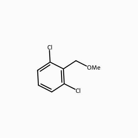 [CH2]OCc1c(Cl)cccc1Cl